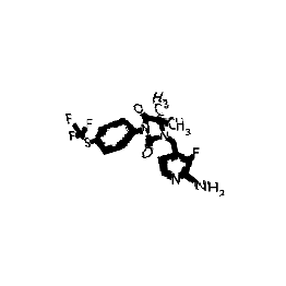 CC1(C)C(=O)N(c2ccc(SC(F)(F)F)cc2)C(=O)N1Cc1ccnc(N)c1F